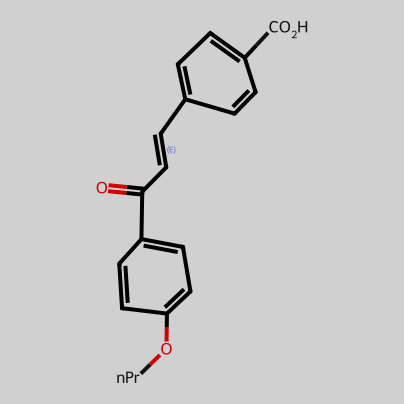 CCCOc1ccc(C(=O)/C=C/c2ccc(C(=O)O)cc2)cc1